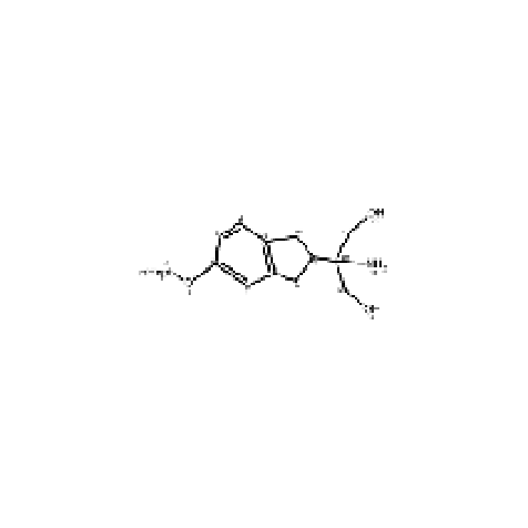 CCCCCCCOc1ccc2c(c1)CC(C(N)(CO)CO)C2